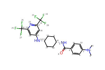 CN(C)c1ccc(C(=O)N[C@H]2CC[C@@H](Nc3cc(C(F)(F)F)nc(C(F)(F)F)c3)CC2)cc1